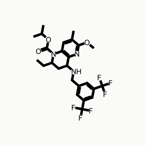 CCC1CC(NCc2cc(C(F)(F)F)cc(C(F)(F)F)c2)c2nc(OC)c(C)cc2N1C(=O)OC(C)C